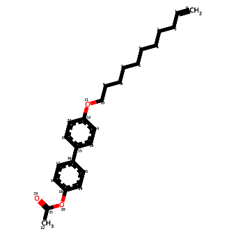 C=CCCCCCCCCCOc1ccc(-c2ccc(OC(C)=O)cc2)cc1